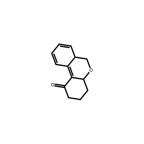 O=C1CCCC2OCC3C=CC=CC3=C12